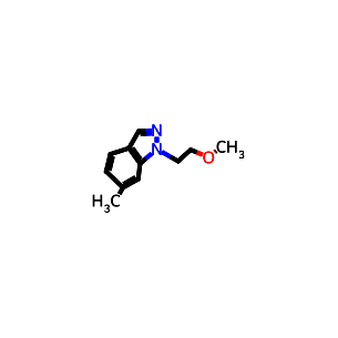 COCCn1ncc2ccc(C)cc21